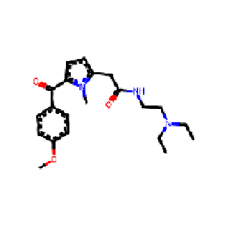 CCN(CC)CCNC(=O)Cc1ccc(C(=O)c2ccc(OC)cc2)n1C